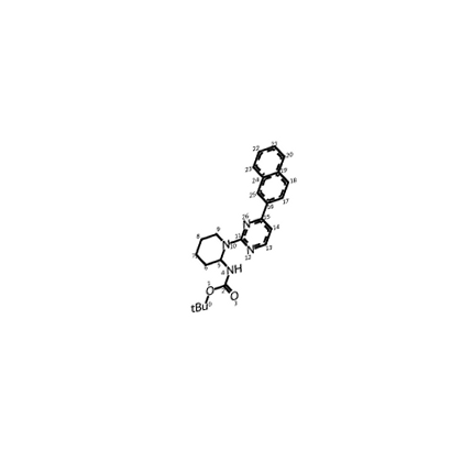 CC(C)(C)OC(=O)NC1C[CH]CCN1c1nccc(-c2ccc3ccccc3c2)n1